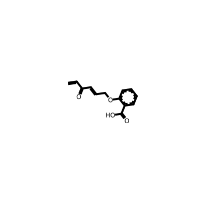 C=CC(=O)C=CCOc1ccccc1C(=O)O